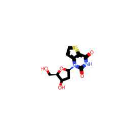 O=c1[nH]c(=O)n([C@H]2CC(O)[C@@H](CO)O2)c2ccsc12